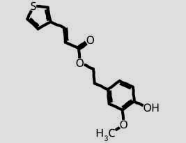 COc1cc(CCOC(=O)C=Cc2ccsc2)ccc1O